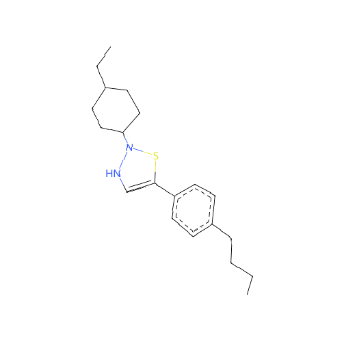 CCCCc1ccc(C2=CNN(C3CCC(CC)CC3)S2)cc1